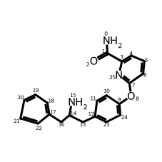 NC(=O)c1cccc(Oc2ccc(CC(N)Cc3ccccc3)cc2)n1